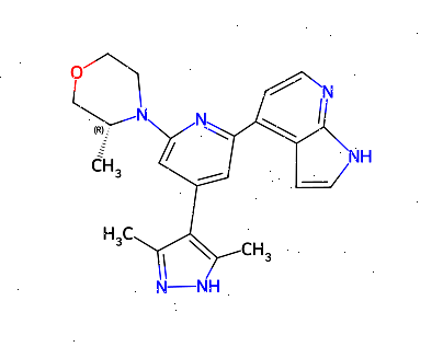 Cc1n[nH]c(C)c1-c1cc(-c2ccnc3[nH]ccc23)nc(N2CCOC[C@H]2C)c1